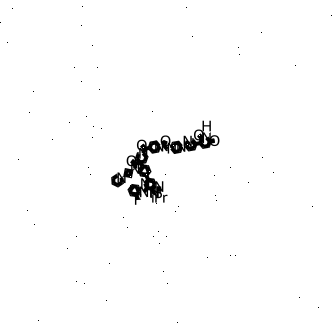 CC(C)n1cnc2cc(-c3ccc4c(c3)N([C@H]3C[C@@H](N5CCCCC5)C3)C(=O)C43CCN(C(=O)C4CCN(C(=O)CN5CCN(c6ccc(C7CCC(=O)NC7=O)cn6)CC5)CC4)CC3)nc(Nc3ccccc3F)c21